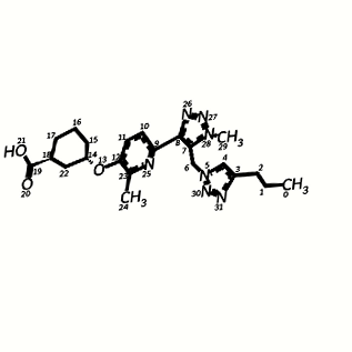 CCCc1cn(Cc2c(-c3ccc(O[C@H]4CCC[C@H](C(=O)O)C4)c(C)n3)nnn2C)nn1